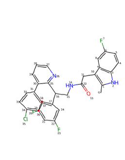 Cc1[nH]c2ccc(F)cc2c1CC(=O)NCC(c1cc(F)cc(F)c1)c1ncccc1-c1ccc(Cl)cc1